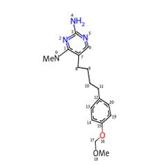 CNc1nc(N)ncc1CCCCc1ccc(OCOC)cc1